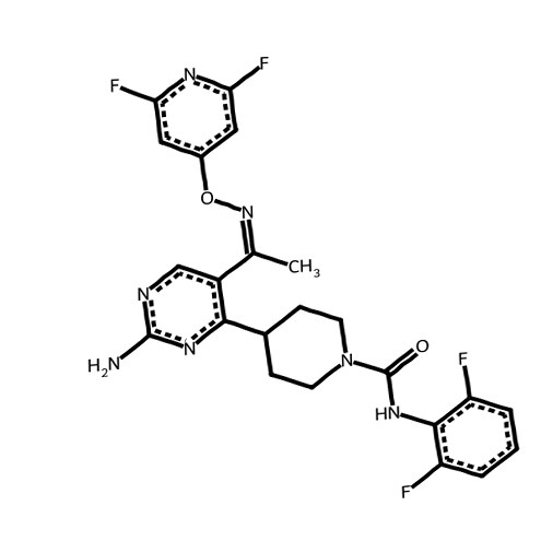 C/C(=N/Oc1cc(F)nc(F)c1)c1cnc(N)nc1C1CCN(C(=O)Nc2c(F)cccc2F)CC1